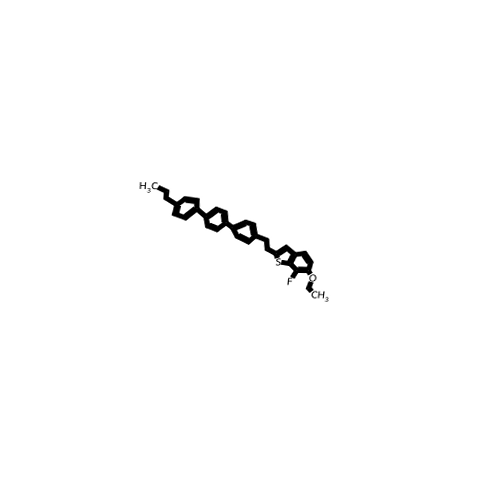 CCCc1ccc(-c2ccc(-c3ccc(CCc4cc5ccc(OCC)c(F)c5s4)cc3)cc2)cc1